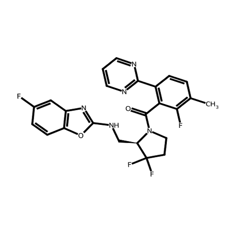 Cc1ccc(-c2ncccn2)c(C(=O)N2CCC(F)(F)[C@H]2CNc2nc3cc(F)ccc3o2)c1F